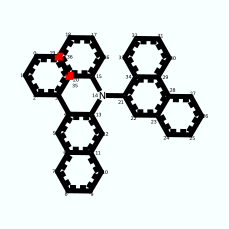 c1ccc(-c2cc3ccccc3cc2N(c2ccccc2)c2cc3ccccc3c3ccccc23)cc1